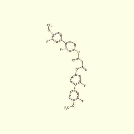 O=C(CC(=O)Oc1ccc(-c2ccc(OC(F)(F)F)c(F)c2)c(F)c1)Oc1ccc(-c2ccc(OC(F)(F)F)c(F)c2)c(F)c1